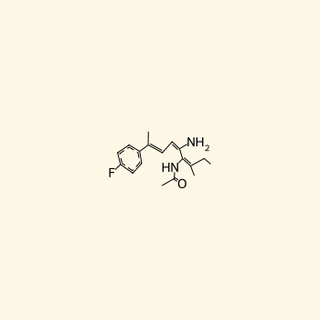 CC\C(C)=C(NC(C)=O)/C(N)=C\C=C(/C)c1ccc(F)cc1